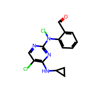 O=Cc1ccccc1N(Cl)c1ncc(Cl)c(NC2CC2)n1